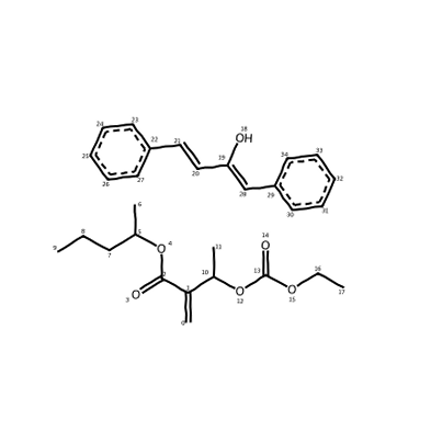 C=C(C(=O)OC(C)CCC)C(C)OC(=O)OCC.OC(C=Cc1ccccc1)=Cc1ccccc1